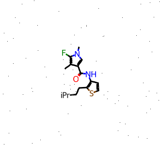 Cc1c(C(=O)Nc2ccsc2CCC(C)C)cn(C)c1F